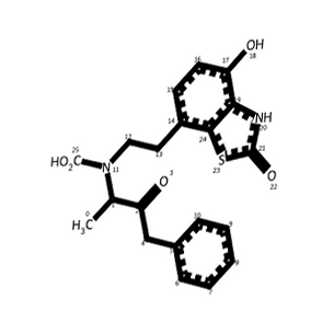 CC(C(=O)Cc1ccccc1)N(CCc1ccc(O)c2[nH]c(=O)sc12)C(=O)O